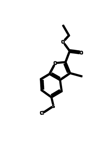 CCOC(=O)c1oc2ccc(SCl)cc2c1C